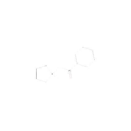 CC1(OC(=O)C2CCCCC2)CCCC1